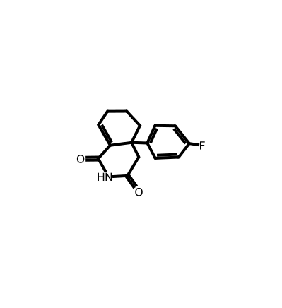 O=C1CC2(c3ccc(F)cc3)CCCC=C2C(=O)N1